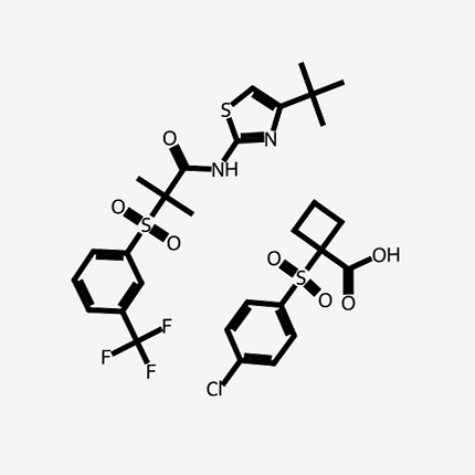 CC(C)(C)c1csc(NC(=O)C(C)(C)S(=O)(=O)c2cccc(C(F)(F)F)c2)n1.O=C(O)C1(S(=O)(=O)c2ccc(Cl)cc2)CCC1